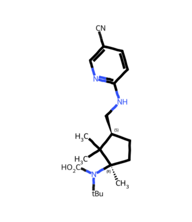 CC(C)(C)N(C(=O)O)[C@]1(C)CC[C@H](CNc2ccc(C#N)cn2)C1(C)C